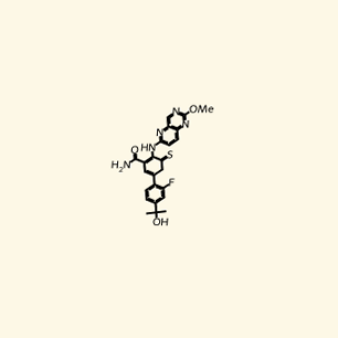 COc1ncc2nc(NC3=C(C(N)=O)C=C(c4ccc(C(C)(C)O)cc4F)CC3=S)ccc2n1